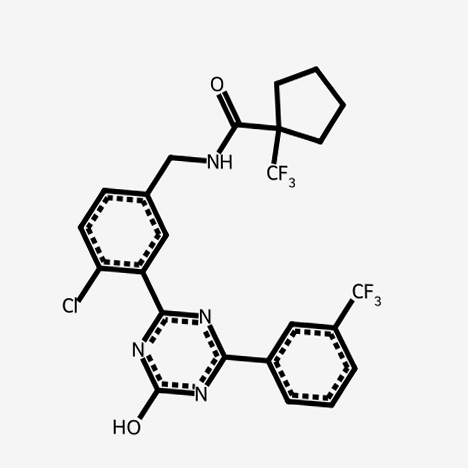 O=C(NCc1ccc(Cl)c(-c2nc(O)nc(-c3cccc(C(F)(F)F)c3)n2)c1)C1(C(F)(F)F)CCCC1